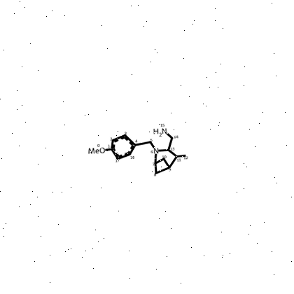 COc1ccc(CN2C3CC(C3)C(C)C2CN)cc1